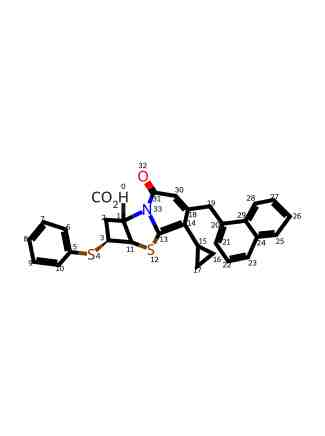 O=C(O)C12C[C@H](Sc3ccccc3)C1Sc1c(C3CC3)c(Cc3cccc4ccccc34)cc(=O)n12